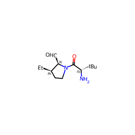 CC[C@@H]1CCN(C(=O)[C@@H](N)C(C)(C)C)[C@@H]1C=O